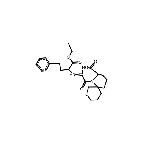 CCOC(=O)C(CCc1ccccc1)N[C@@H](C)C(=O)N1C(C(=O)O)CCCC12CCCOC2